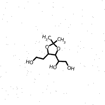 CC1(C)OC(CCO)C(C(O)CO)O1